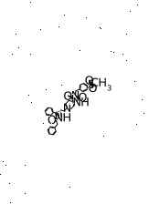 CS(=O)(=O)c1ccc(CN2C(=O)NC3(CCN(CC[C@H](NC(=O)Cc4ccccc4)c4ccccc4)CC3)C2=O)cc1